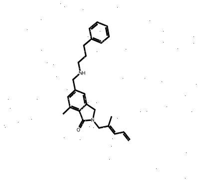 C=C/C=C(\C)CN1Cc2cc(CNCCCc3ccccc3)cc(C)c2C1=O